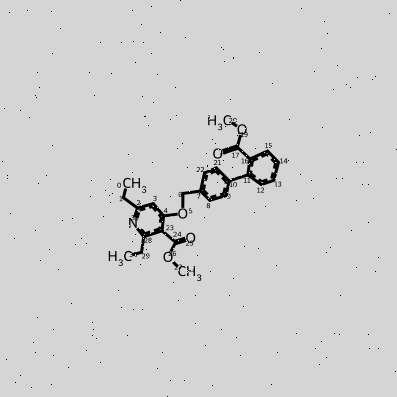 CCc1cc(OCc2ccc(-c3ccccc3C(=O)OC)cc2)c(C(=O)OC)c(CC)n1